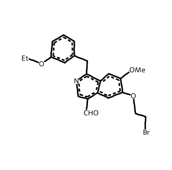 CCOc1cccc(Cc2ncc(C=O)c3cc(OCCBr)c(OC)cc23)c1